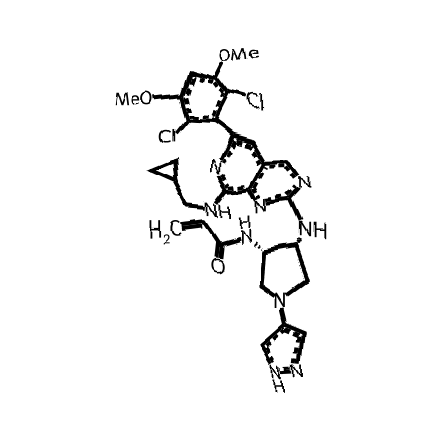 C=CC(=O)N[C@H]1CN(c2cn[nH]c2)C[C@H]1Nc1ncc2cc(-c3c(Cl)c(OC)cc(OC)c3Cl)nc(NCC3CC3)c2n1